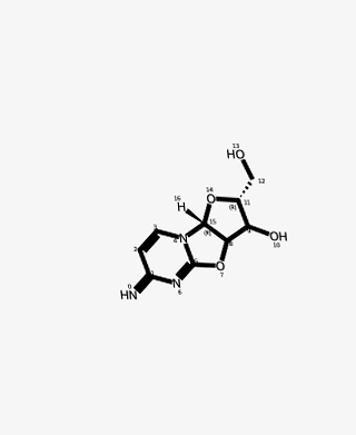 N=c1ccn2c(n1)OC1C(O)[C@@H](CO)O[C@H]12